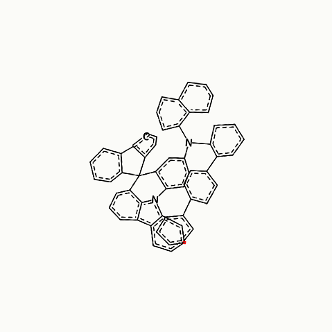 c1ccc(-c2ccc(-c3ccccc3N(c3ccc4c(c3)C3(c5ccccc5-c5ccccc53)c3cccc5c6ccccc6n-4c35)c3cccc4ccccc34)cc2)cc1